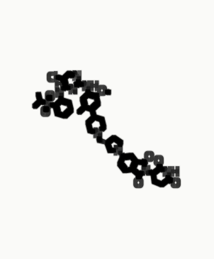 COc1cc(C2CCN(C[C@H]3CCN(c4ccc5c(c4)C(=O)N(C4CCC(=O)NC4=O)C5=O)C3)CC2)c(C)cc1Nc1ncc(Cl)c(Nc2ccccc2S(=O)(=O)C(C)C)n1